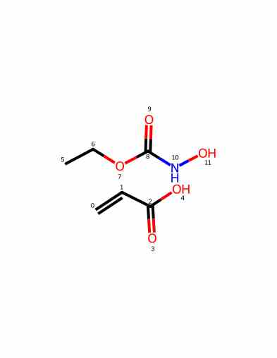 C=CC(=O)O.CCOC(=O)NO